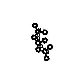 c1ccc(-c2cc(-c3cccc4c3oc3c(-c5ccccc5)c5oc6c(-c7cc(-c8ccccc8)nc(-c8ccccc8)n7)cccc6c5cc34)nc(-c3ccccc3)n2)cc1